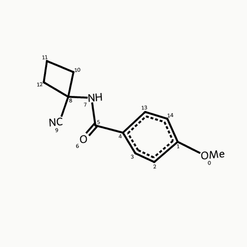 COc1ccc(C(=O)NC2(C#N)CCC2)cc1